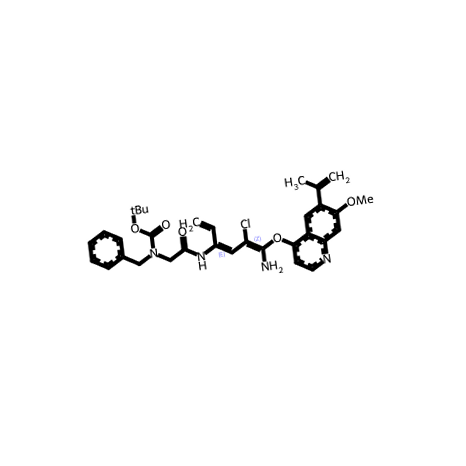 C=C/C(=C\C(Cl)=C(/N)Oc1ccnc2cc(OC)c(C(=C)C)cc12)NC(=O)CN(Cc1ccccc1)C(=O)OC(C)(C)C